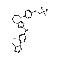 Cc1ncnn1-c1ccc(Nc2nc3n(n2)CCCC[C@H]3c2ccc(OCC(F)(F)F)cc2)cc1F